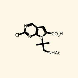 CC(=O)NCC(C)(C)n1c(C(=O)O)cc2cnc(Cl)nc21